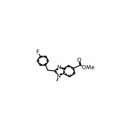 COC(=O)c1ccc2c(c1)nc(Cc1ccc(F)cc1)n2C